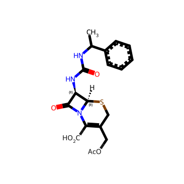 CC(=O)OCC1=C(C(=O)O)N2C(=O)[C@@H](NC(=O)NC(C)c3ccccc3)[C@H]2SC1